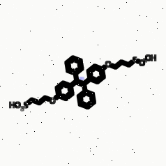 O=S(=O)(O)CCCOc1ccc(/C(=C(\c2ccccc2)c2ccc(OCCCSOO)cc2)c2ccccc2)cc1